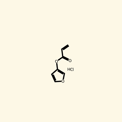 C=CC(=O)Oc1ccoc1.Cl